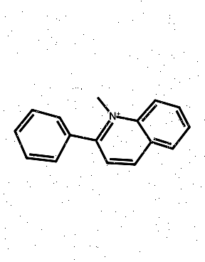 C[n+]1c(-c2ccccc2)ccc2ccccc21